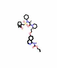 C=CCOC(=O)Nc1nccc2cc(OCC[C@@H]3CCCCN3C(=O)[C@H](C)N(C3CCCCC3)S(=O)(=O)CC34CCC(CC3=O)C4(C)C)ccc12